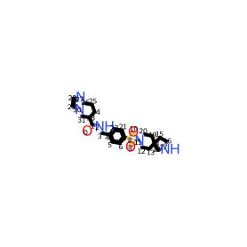 O=C(NCc1ccc(S(=O)(=O)N2CCC3(CCNC3)CC2)cc1)C1CCc2nccn2C1